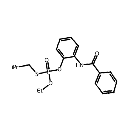 CCOP(=O)(Oc1ccccc1NC(=O)c1ccccc1)SCC(C)C